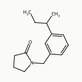 CCC(C)c1cccc(CN2CCCC2=O)c1